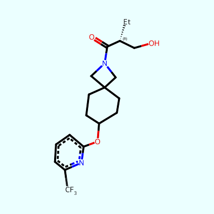 CC[C@H](CO)C(=O)N1CC2(CCC(Oc3cccc(C(F)(F)F)n3)CC2)C1